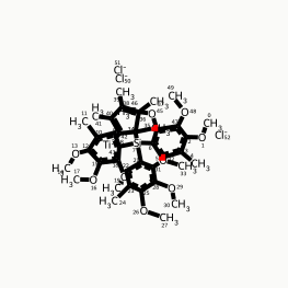 COc1c(C)cc([Si](c2cc(C)c(OC)c(OC)c2OC)(c2cc(C)c(OC)c(OC)c2OC)C2(C)C(C)=C(C)C(C)=[C]2[Ti+3])c(OC)c1OC.[Cl-].[Cl-].[Cl-]